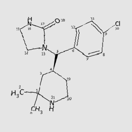 CC1(C)C[C@@H](C(c2ccc(Cl)cc2)N2CCNC2=O)CCN1